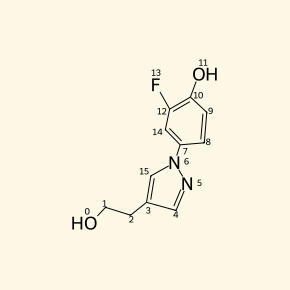 OCCc1cnn(-c2ccc(O)c(F)c2)c1